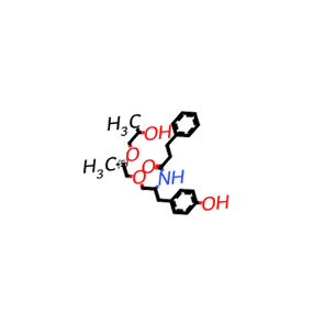 CC(O)CO[C@@H](C)COCC(Cc1ccc(O)cc1)NC(=O)CCc1ccccc1